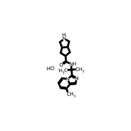 Cc1cccn2c(C(C)(C)NC(=O)C3CC4CNCC4C3)ncc12.Cl